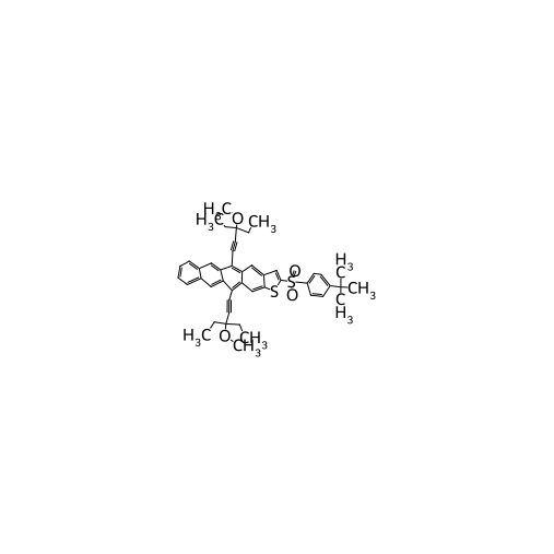 CCC(C#Cc1c2cc3ccccc3cc2c(C#CC(CC)(CC)OC)c2cc3sc(S(=O)(=O)c4ccc(C(C)(C)C)cc4)cc3cc12)(CC)OC